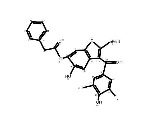 CCCCCc1oc2cc(OC(=O)Cc3ccccc3)c(O)cc2c1C(=O)c1cc(I)c(O)c(I)c1